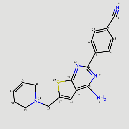 N#Cc1ccc(-c2nc(N)c3cc(CN4CC=CCC4)sc3n2)cc1